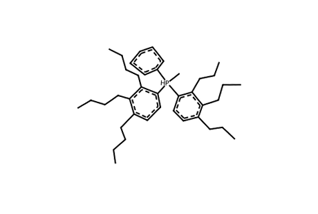 CCCCc1ccc([PH](C)(c2ccccc2)c2ccc(CCC)c(CCC)c2CCC)c(CCCC)c1CCCC